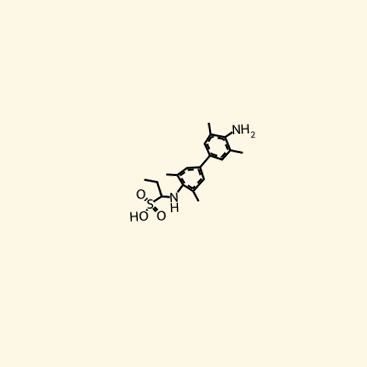 CCC(Nc1c(C)cc(-c2cc(C)c(N)c(C)c2)cc1C)S(=O)(=O)O